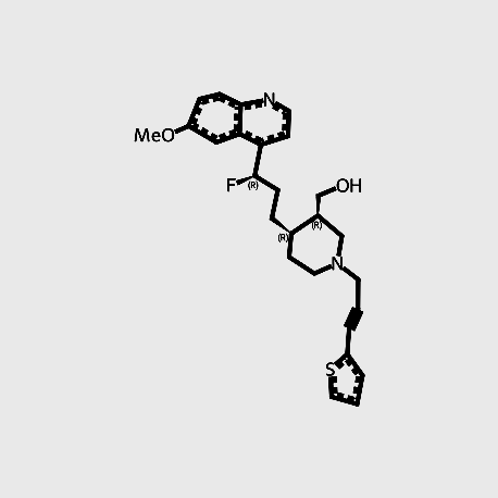 COc1ccc2nccc([C@H](F)CC[C@@H]3CCN(CC#Cc4cccs4)C[C@@H]3CO)c2c1